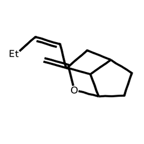 C=C1CC2CCC(O1)C2C/C=C\CC